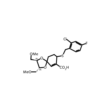 COC[C@H]1OC2(C=C(C(=O)O)C(SCc3ccc(F)cc3Cl)CC2)O[C@@H]1COC